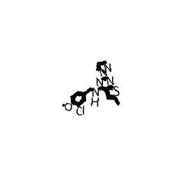 COc1ccc(CNc2nc(-n3cccn3)nc3sc(C)cc23)cc1Cl